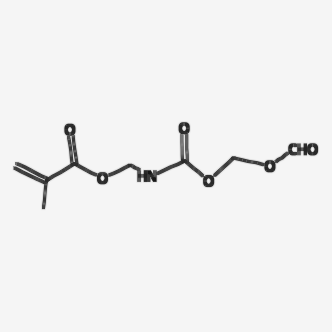 C=C(C)C(=O)OCNC(=O)OCOC=O